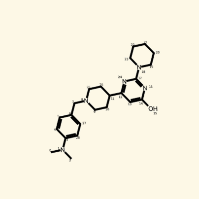 CN(C)c1ccc(CN2CCC(c3cc(O)nc(N4CCCCC4)n3)CC2)cc1